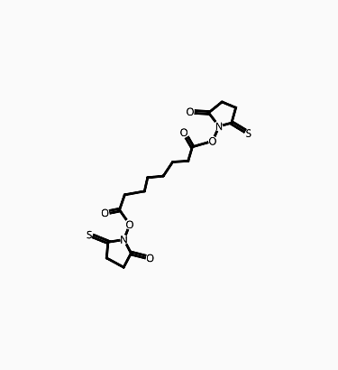 O=C(CCCCCCC(=O)ON1C(=O)CCC1=S)ON1C(=O)CCC1=S